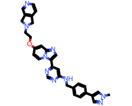 Cn1cc(-c2ccc(CNc3cc(-c4cnc5cc(OCCN6Cc7ccncc7C6)ccn45)ncn3)cc2)cn1